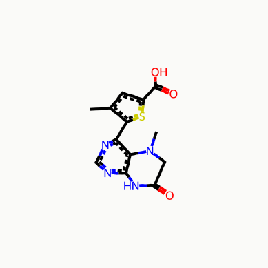 Cc1cc(C(=O)O)sc1-c1ncnc2c1N(C)CC(=O)N2